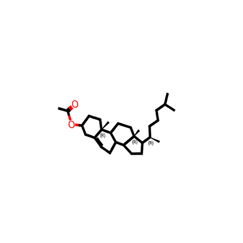 CC(=O)OC1CC[C@@]2(C)C(=CCC3C4CCC([C@H](C)CCCC(C)C)[C@@]4(C)CCC32)C1